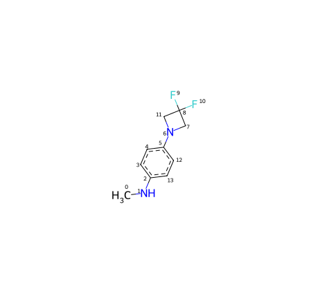 CNc1ccc(N2CC(F)(F)C2)cc1